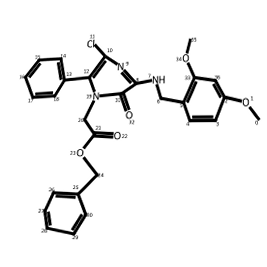 COc1ccc(CNc2nc(Cl)c(-c3ccccc3)n(CC(=O)OCc3ccccc3)c2=O)c(OC)c1